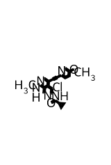 CNc1ncc(C#Cc2ccc(OC)cn2)c2c(Cl)c(NC(=O)C3CC3)ncc12